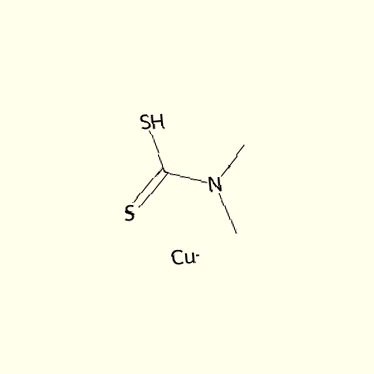 CN(C)C(=S)S.[Cu]